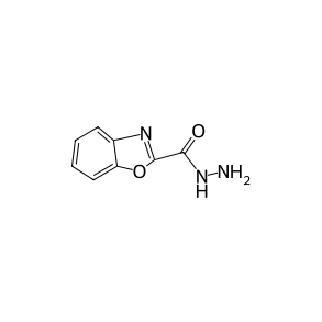 NNC(=O)c1nc2ccccc2o1